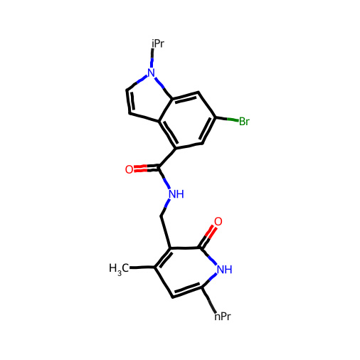 CCCc1cc(C)c(CNC(=O)c2cc(Br)cc3c2ccn3C(C)C)c(=O)[nH]1